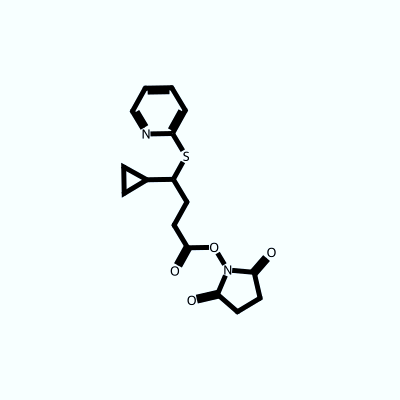 O=C(CCC(Sc1ccccn1)C1CC1)ON1C(=O)CCC1=O